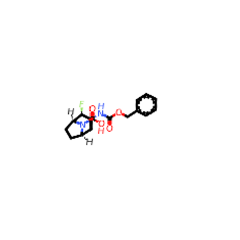 O=C(N[C@@H]1C[C@H]2CC[C@@H]([C@H]1F)N2C(=O)O)OCc1ccccc1